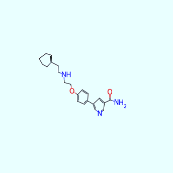 NC(=O)c1cncc(-c2ccc(OCCNCCC3=CCCCC3)cc2)c1